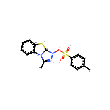 CC1=NN(OS(=O)(=O)c2ccc(C)cc2)C2Sc3ccccc3N12